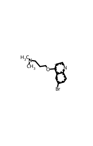 CN(C)CCCOc1[c]cnc2ccc(Br)cc12